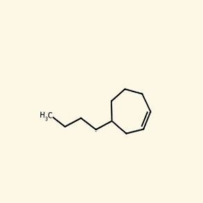 CCC[CH]C1CC=CCCC1